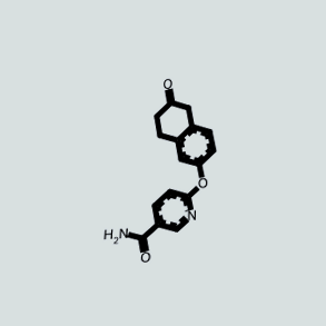 NC(=O)c1ccc(Oc2ccc3c(c2)CCC(=O)C3)nc1